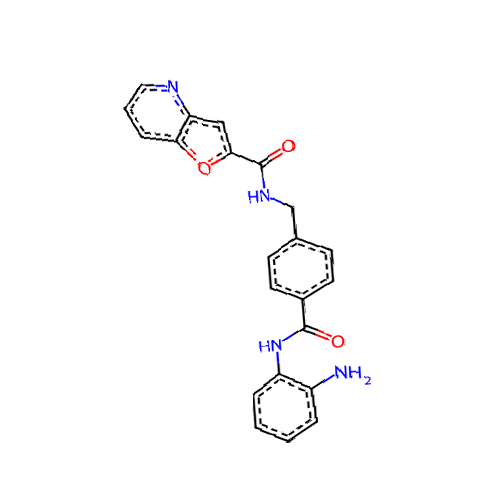 Nc1ccccc1NC(=O)c1ccc(CNC(=O)c2cc3ncccc3o2)cc1